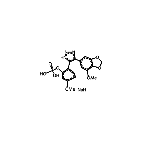 COc1ccc(-c2[nH]nnc2-c2cc(OC)c3c(c2)OCO3)c(OP(=O)(O)O)c1.[NaH]